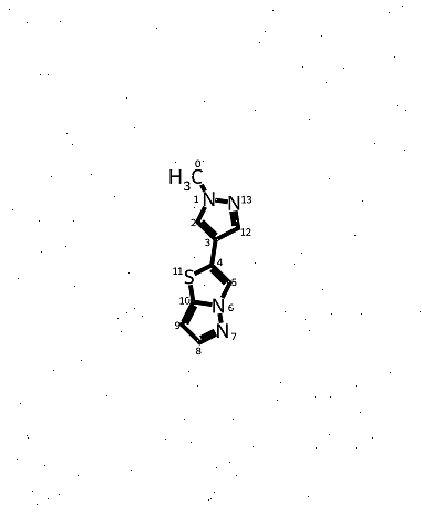 Cn1cc(-c2cn3nccc3s2)cn1